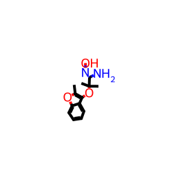 Cc1oc2ccccc2c1OC(C)(C)C(N)=NO